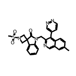 Cc1ccc2c(-c3ccnnc3)c(CN3C(=O)C4(CN(S(C)(=O)=O)C4)c4ccccc43)ncc2c1